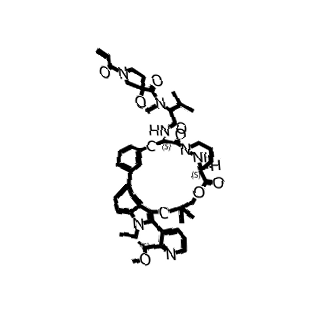 C=CC(=O)N1CCC2(C1)OCN(C(C(=O)N[C@H]1Cc3cccc(c3)-c3ccc4c(c3)c(c(-c3cccnc3[C@H](C)OC)n4CC)CC(C)(C)COC(=O)[C@@H]3CCCN(N3)C1=O)C(C)C)C2=O